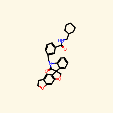 O=C(NCC1CCCCC1)c1cccc(CN2C(=O)C3(COc4cc5c(cc43)CCO5)c3ccccc32)c1